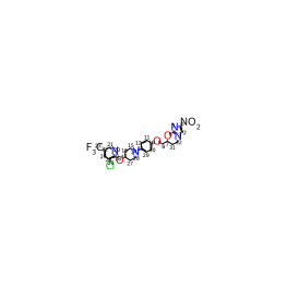 O=[N+]([O-])c1cn2c(n1)OC(COc1ccc(N3CCC(Oc4ncc(C(F)(F)F)cc4Cl)CC3)cc1)CC2